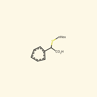 CCCCCCSC(C(=O)O)c1ccccc1